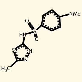 CNc1ccc(S(=O)(=O)Nc2nnc(C)s2)cc1